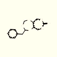 O=c1ncc2c(cn1)OC(Cc1ccccc1)OCO2